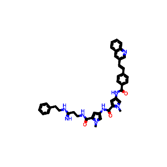 Cn1cc(NC(=O)c2cc(NC(=O)c3ccc(/C=C/c4cnc5ccccc5c4)cc3)cn2C)cc1C(=O)NCCC(=N)NCCc1ccccc1